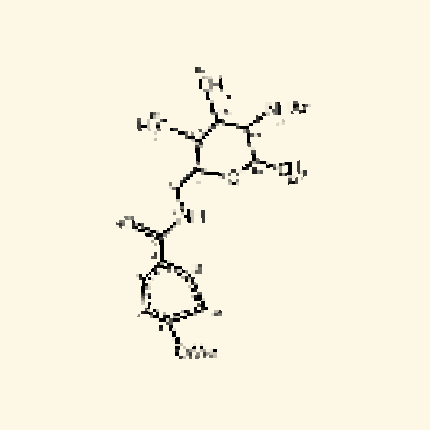 COc1ccc(C(=O)NCC2OC(C)C(NC(C)=O)C(C)C2C)cc1